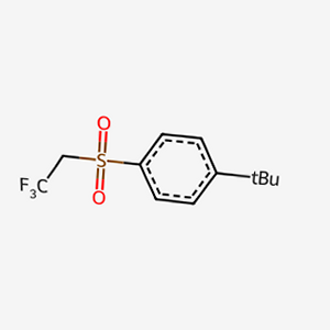 CC(C)(C)c1ccc(S(=O)(=O)CC(F)(F)F)cc1